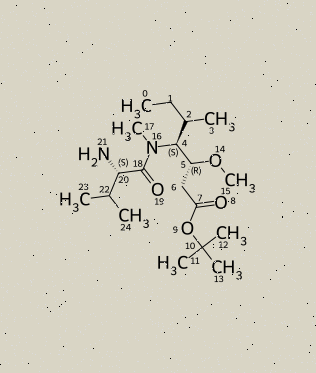 CCC(C)[C@@H]([C@@H](CC(=O)OC(C)(C)C)OC)N(C)C(=O)[C@@H](N)C(C)C